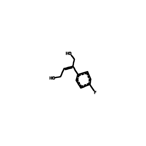 OC/C=C(/CO)c1ccc(F)cc1